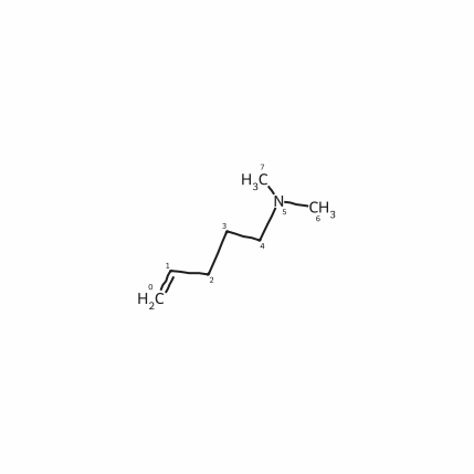 C=CCCCN(C)C